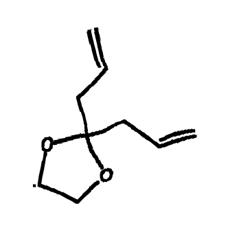 C=CCC1(CC=C)O[CH]CO1